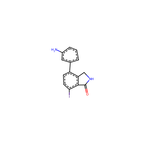 Nc1cccc(-c2ccc(I)c3c2CNC3=O)c1